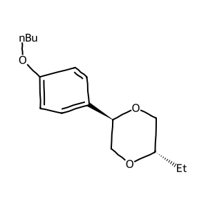 CCCCOc1ccc([C@@H]2CO[C@@H](CC)CO2)cc1